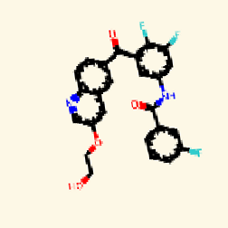 O=C(Nc1cc(F)c(F)c(C(=O)c2ccc3ncc(OCCO)cc3c2)c1)c1cccc(F)c1